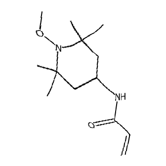 C=CC(=O)NC1CC(C)(C)N(OC)C(C)(C)C1